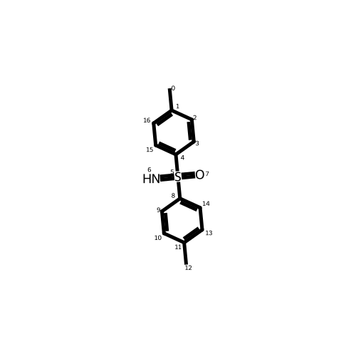 Cc1ccc(S(=N)(=O)c2ccc(C)cc2)cc1